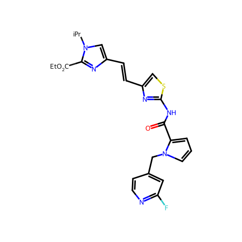 CCOC(=O)c1nc(/C=C/c2csc(NC(=O)c3cccn3Cc3ccnc(F)c3)n2)cn1C(C)C